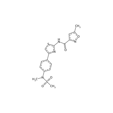 Cc1cc(C(=O)Nc2nc(-c3ccc(N(C)S(C)(=O)=O)cc3)cs2)no1